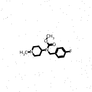 COC(=O)N(Cc1ccc(F)cc1)C1CCN(C)CC1